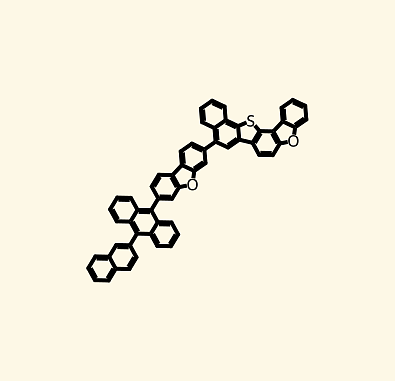 c1ccc2cc(-c3c4ccccc4c(-c4ccc5c(c4)oc4cc(-c6cc7c8ccc9oc%10ccccc%10c9c8sc7c7ccccc67)ccc45)c4ccccc34)ccc2c1